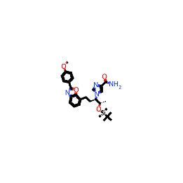 COc1ccc(-c2nc3cccc(CC[C@H]([C@H](C)O[Si](C)(C)C(C)(C)C)n4cnc(C(N)=O)c4)c3o2)cc1